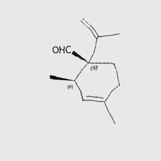 C=C(C)[C@]1(C=O)CCC(C)=C[C@H]1C